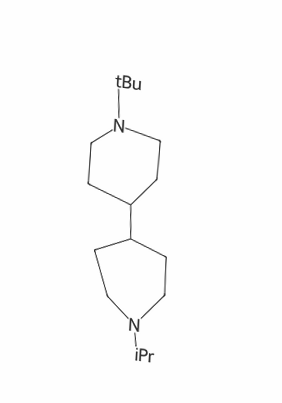 CC(C)N1CCC(C2CCN(C(C)(C)C)CC2)CC1